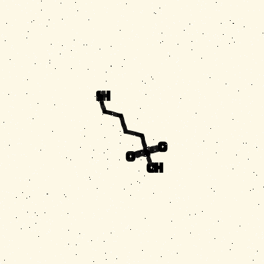 O=S(=O)(O)CCCCS